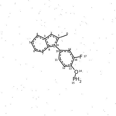 Cc1cc2ccccc2n1-c1ccc(OP)c(F)c1